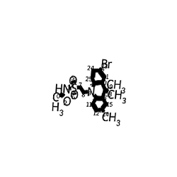 CC(=O)NS(=O)(=O)CCN1c2ccc(C)cc2C(C)(C)c2cc(Br)ccc21